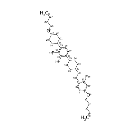 C=CCCCOc1ccc(CCC2CCC(c3ccc(C4CCC(OCCCC)CC4)c(F)c3F)CC2)c(F)c1